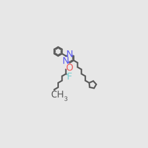 CCCCCCC(F)COc1nc(-c2ccccc2)ncc1CCCCCCC1CCCC1